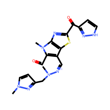 CN(Cc1ccn(C)n1)/N=C\c1c(C=O)n(C)c2nc(C(=O)c3cc[nH]n3)sc12